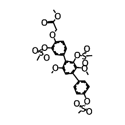 COC(=O)COc1ccc(-c2c(OC)cc(-c3ccc(OS(C)(=O)=O)cc3)c(OC)c2OS(C)(=O)=O)cc1OS(C)(=O)=O